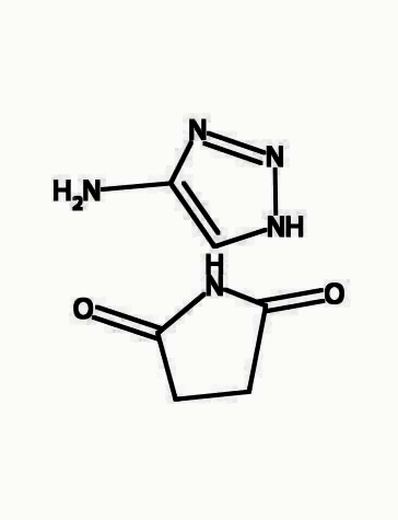 Nc1c[nH]nn1.O=C1CCC(=O)N1